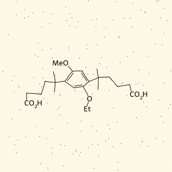 CCOc1cc(C(C)(C)CCCC(=O)O)c(OC)cc1C(C)(C)CCCC(=O)O